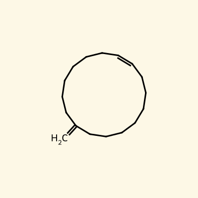 C=C1CCCCCCC=CCCCCCCC1